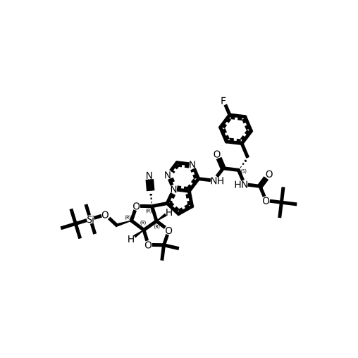 CC(C)(C)OC(=O)N[C@@H](Cc1ccc(F)cc1)C(=O)Nc1ncnn2c([C@]3(C#N)O[C@H](CO[Si](C)(C)C(C)(C)C)[C@H]4OC(C)(C)O[C@H]43)ccc12